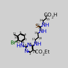 CCOC(=O)c1cnc(Nc2cccc(C)c2Br)nc1NCCCNC(=S)NCCC(=O)O